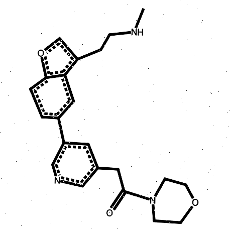 CNCCc1coc2ccc(-c3cncc(CC(=O)N4CCOCC4)c3)cc12